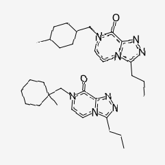 CCCc1nnc2c(=O)n(CC3(C)CCCCC3)ccn12.CCCc1nnc2c(=O)n(CC3CCC(C)CC3)ccn12